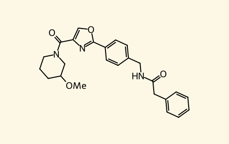 COC1CCCN(C(=O)c2coc(-c3ccc(CNC(=O)Cc4ccccc4)cc3)n2)C1